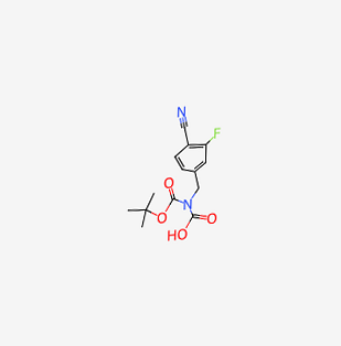 CC(C)(C)OC(=O)N(Cc1ccc(C#N)c(F)c1)C(=O)O